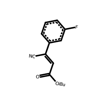 CC(C)COC(=O)C=C(C#N)c1cccc(F)c1